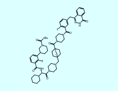 CC(C)(C)C(=O)N1CCCC(c2cccc(C(=O)N[C@@H](C(=O)N3CCN(CC45CCC(C(=O)N6CCN(C(=O)c7cc(Cc8n[nH]c(=O)c9ccccc89)ccc7F)CC6)(CC4)CO5)CC3)C3CCCCC3)c2F)C1